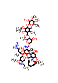 CC#C/C=C\C#C[C@H](O[C@@H]1O[C@H](C)[C@@H](NO[C@H]2C[C@H](O)[C@H](SC(=O)c3c(C)c(I)c(O[C@@H]4O[C@@H](C)[C@H](O)[C@@H](OC)[C@H]4O)c(OC)c3OC)[C@@H](C)O2)[C@H](O)[C@H]1O[C@H]1C[C@H](OC)[C@@H](NCC)CO1)C1=C(NC(=O)OC)C(=O)C[C@](C)(O)/C1=C/CSSC(C)(C)CC(=O)NN